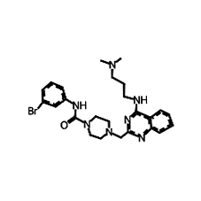 CN(C)CCCNc1nc(CN2CCN(C(=O)Nc3cccc(Br)c3)CC2)nc2ccccc12